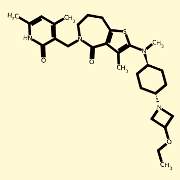 CCOC1CN([C@H]2CC[C@H](N(C)c3sc4c(c3C)C(=O)N(Cc3c(C)cc(C)[nH]c3=O)CCC4)CC2)C1